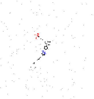 CCCCCCCCCc1cnc(-c2ccc(C3(CCCCCCC(=O)O)CCCC3)cc2)nc1